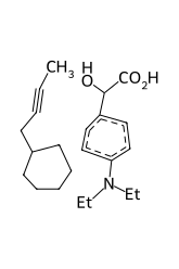 CC#CCC1CCCCC1.CCN(CC)c1ccc(C(O)C(=O)O)cc1